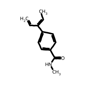 C=C/C(=C\C)c1ccc(C(=O)NC)cc1